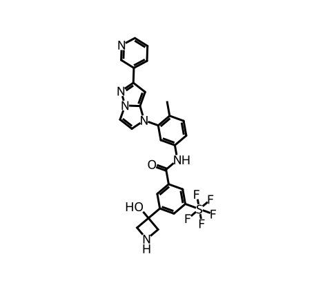 Cc1ccc(NC(=O)c2cc(C3(O)CNC3)cc(S(F)(F)(F)(F)F)c2)cc1-n1ccn2nc(-c3cccnc3)cc12